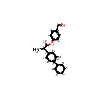 CC(C(=O)Oc1ccc(CBr)cc1)c1ccc(-c2ccccc2)c(F)c1